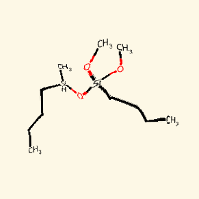 CCCC[SiH](C)O[Si](CCCC)(OC)OC